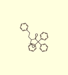 O=[C]C(CCc1ccccc1)C(=O)C(c1ccccc1)(c1ccccc1)c1ccccc1